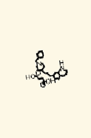 O=C(O)C=CC(=O)O.c1ccc(CN2CCC(CCCc3ccc4c(c3)CNCCC4)CC2)cc1